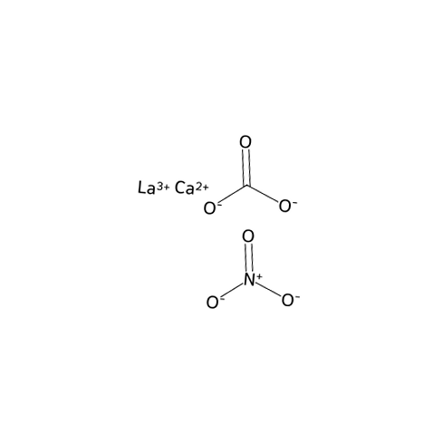 O=C([O-])[O-].O=[N+]([O-])[O-].[Ca+2].[La+3]